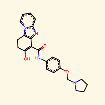 O=C(Nc1ccc(OCN2CCCC2)cc1)C1=C(O)CCc2c1nc1ccccn21